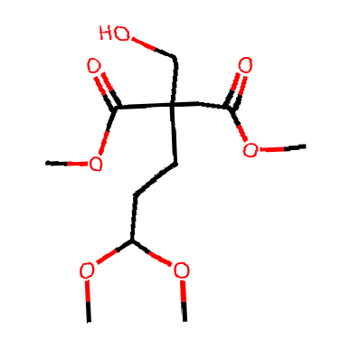 COC(=O)C(CO)(CCC(OC)OC)C(=O)OC